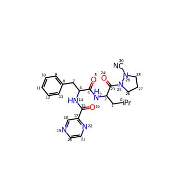 CC(C)CC(NC(=O)C(Cc1ccccc1)NC(=O)c1cnccn1)C(=O)N1CCCN1C#N